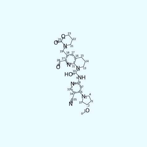 CO[C@H]1CCN(c2cc(NC(O)N3CCCc4cc(CN5CCCOC5=O)c(C=O)nc43)ncc2C#N)C1